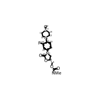 CNC(=O)OC[C@H]1CN(c2ccc(N3CC[S+]([O-])CC3)c(F)c2)C(=O)O1